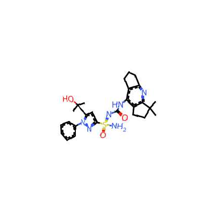 CC(C)(O)c1cc(S(N)(=O)=NC(=O)Nc2c3c(nc4c2CCC4(C)C)CCC3)nn1-c1ccccc1